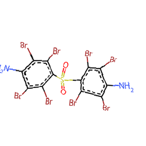 Nc1c(Br)c(Br)c(S(=O)(=O)c2c(Br)c(Br)c(N)c(Br)c2Br)c(Br)c1Br